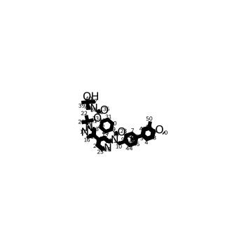 COc1ccc(C23CCC(CN(c4cc(-c5cnn(C(C)(C)C)c5)ccn4)C(=O)[C@H]4CC[C@H](OC(=O)N5CC(C)(O)C5)CC4)(CC2)CC3)cc1C